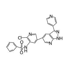 O=S(=O)(Nc1cc(-c2cnc3[nH]nc(-c4ccncc4)c3c2)cnc1Cl)c1ccccc1